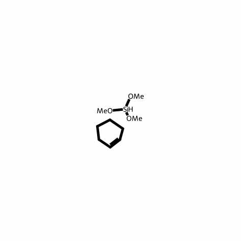 C1=CCCCC1.CO[SiH](OC)OC